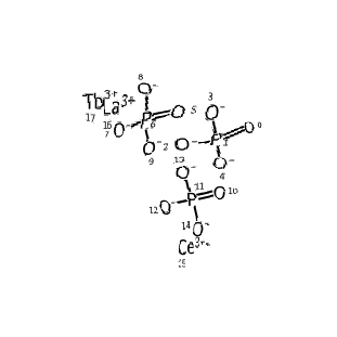 O=P([O-])([O-])[O-].O=P([O-])([O-])[O-].O=P([O-])([O-])[O-].[Ce+3].[La+3].[Tb+3]